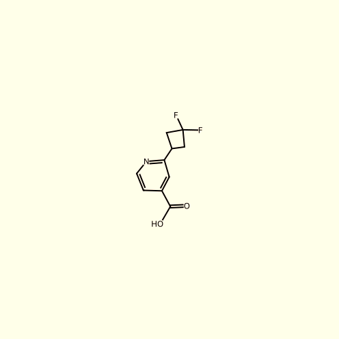 O=C(O)c1ccnc(C2CC(F)(F)C2)c1